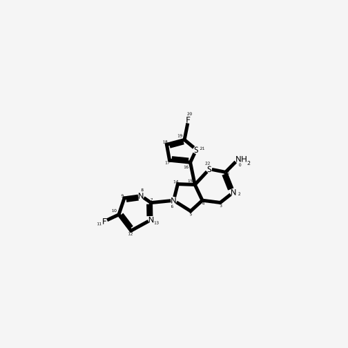 NC1=NCC2CN(c3ncc(F)cn3)CC2(c2ccc(F)s2)S1